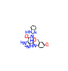 COc1ccc(NC(=O)c2nc[nH]c2C(=O)Nc2nc3ccccc3[nH]2)c(C)c1